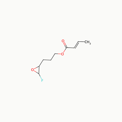 CC=CC(=O)OCCCC1OC1F